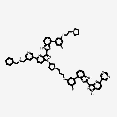 Fc1cc(OCCCN2CCC(n3nc(-c4nc5c(-c6cc(F)cc(OCCN7CCCC7)c6)cccc5[nH]4)c4nc(-c5cncc(CNCc6ccccc6)c5)ccc43)C2)cc(-c2cccc3[nH]c(-c4n[nH]c5ccc(-c6cncnc6)nc45)nc23)c1